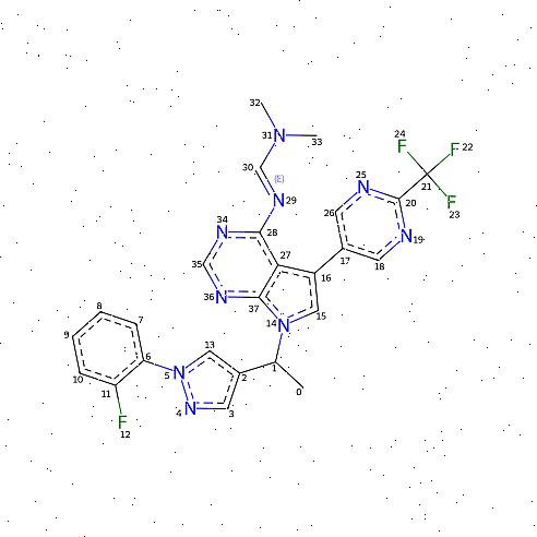 CC(c1cnn(-c2ccccc2F)c1)n1cc(-c2cnc(C(F)(F)F)nc2)c2c(/N=C/N(C)C)ncnc21